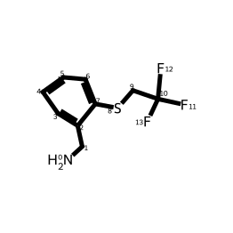 NCc1cc[c]cc1SCC(F)(F)F